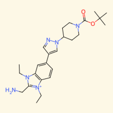 CCn1c(CN)[n+](CC)c2ccc(-c3cnn(C4CCN(C(=O)OC(C)(C)C)CC4)c3)cc21